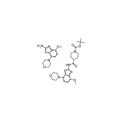 COc1ccc(N2CCOCC2)c2sc(N)nc12.COc1ccc(N2CCOCC2)c2sc(NC(=O)C3CCN(C(=O)OC(C)(C)C)CC3)nc12